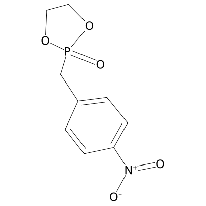 O=[N+]([O-])c1ccc(CP2(=O)OCCO2)cc1